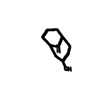 OC1CCC2CCCC(C1)N2